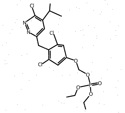 CCOP(=O)(OCC)OCOc1cc(Cl)c(Cc2cc(C(C)C)c(Cl)nn2)c(Cl)c1